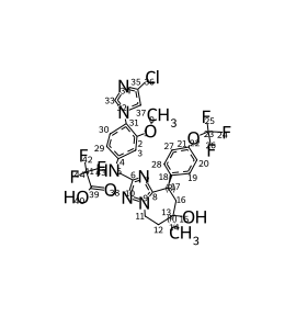 COc1cc(Nc2nc3n(n2)CC[C@](C)(O)C[C@@H]3c2ccc(OC(F)(F)F)cc2)ccc1-n1cnc(Cl)c1.O=C(O)C(F)(F)F